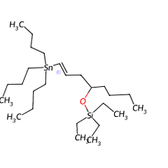 CCCCC(C/C=[CH]/[Sn]([CH2]CCC)([CH2]CCC)[CH2]CCC)O[Si](CC)(CC)CC